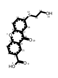 O=C(O)c1ccc2oc3ccc(SCCO)cc3c(=O)c2c1